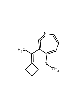 CNC1=CC=CN=C=C1C(C)=C1CCC1